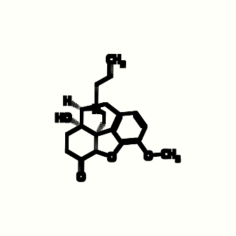 C=CCN1CC[C@]23c4c5ccc(OC)c4OC2C(=O)CC[C@@]3(O)[C@H]1C5